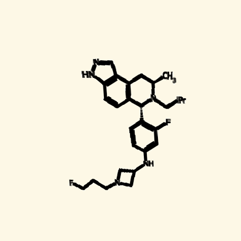 CC(C)CN1[C@H](c2ccc(NC3CN(CCCF)C3)cc2F)c2ccc3[nH]ncc3c2C[C@H]1C